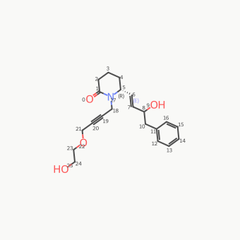 O=C1CCC[C@H](/C=C/C(O)Cc2ccccc2)N1CC#CCOCCO